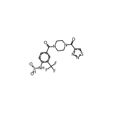 O=C(c1ccc(N[SH](=O)=O)c(C(F)(F)F)c1)N1CCN(C(=O)c2csnn2)CC1